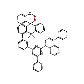 CC1(C)c2ccccc2C2(c3ccccc3Oc3ccccc32)c2cccc(-c3cccc(-c4cc(-c5ccccc5)nc(-c5ccc(-c6ccccc6)c6ccccc56)n4)c3)c21